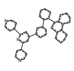 c1cc(-c2cc(-c3ccncc3)nc(-c3ccncc3)c2)cc(-c2ccccc2-c2cc3ccccc3c3ccccc23)c1